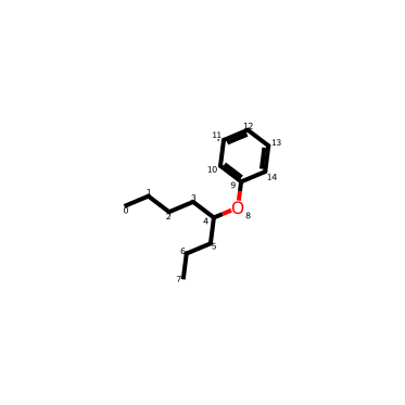 CCCCC(CCC)Oc1c[c]ccc1